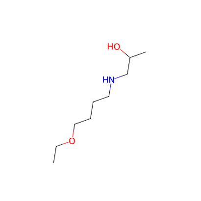 CCOCCCCNCC(C)O